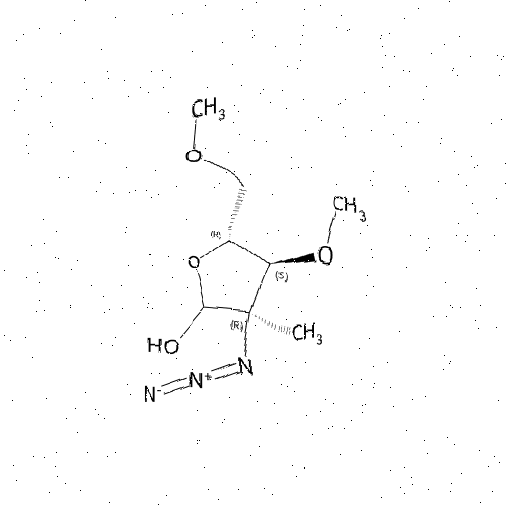 COC[C@H]1OC(O)[C@](C)(N=[N+]=[N-])[C@@H]1OC